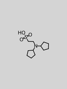 O=S(=O)(O)CCN(C1CCCC1)C1CCCC1